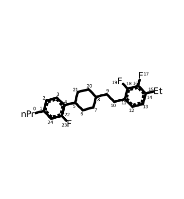 CCCc1ccc(C2CCC(CCc3ccc(CC)c(F)c3F)CC2)c(F)c1